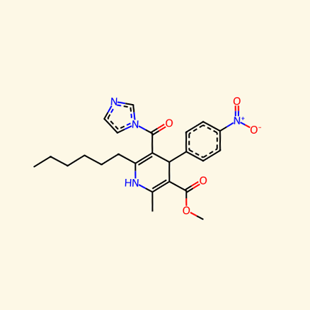 CCCCCCC1=C(C(=O)n2ccnc2)C(c2ccc([N+](=O)[O-])cc2)C(C(=O)OC)=C(C)N1